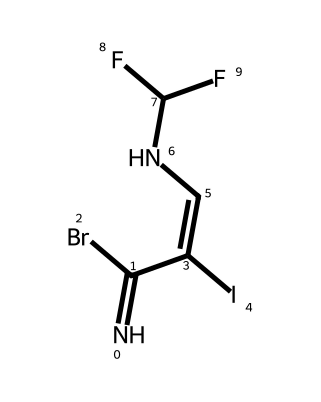 N=C(Br)/C(I)=C\NC(F)F